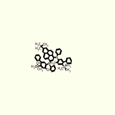 Cc1cc([Si](C)(C)C)c(-c2ccccc2)cc1N(c1ccccc1)c1cc(N(c2ccccc2)c2cc(-c3ccccc3)c([Si](C)(C)C)cc2C)c2ccc3cc(C(C)(C)C)cc4ccc1c2c43